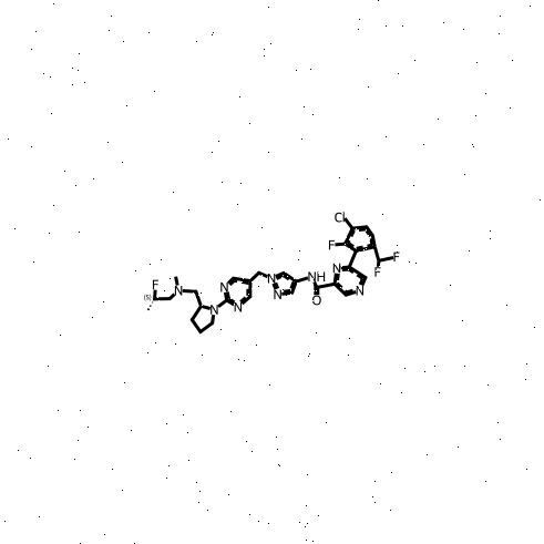 C[C@H](F)CN(C)CC1CCCN1c1ncc(Cn2cc(NC(=O)c3cncc(-c4c(C(F)F)ccc(Cl)c4F)n3)cn2)cn1